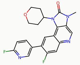 Cn1c(=O)n(C2CCOCC2)c2c3cc(-c4ccc(F)nc4)c(F)cc3ncc21